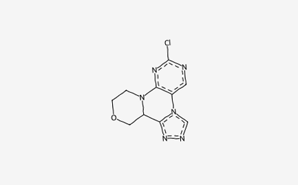 Clc1ncc2c(n1)N1CCOCC1c1nncn1-2